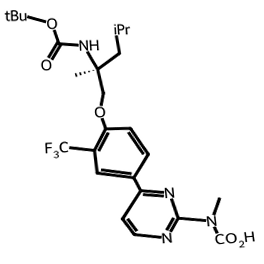 CC(C)C[C@@](C)(COc1ccc(-c2ccnc(N(C)C(=O)O)n2)cc1C(F)(F)F)NC(=O)OC(C)(C)C